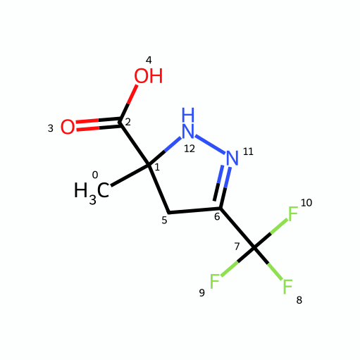 CC1(C(=O)O)CC(C(F)(F)F)=NN1